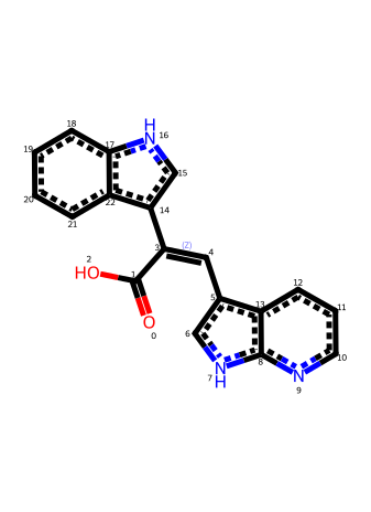 O=C(O)/C(=C\c1c[nH]c2ncccc12)c1c[nH]c2ccccc12